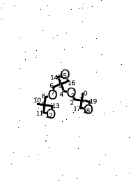 CC1(COCC2(COCC3(C)COC3)COC2)COC1